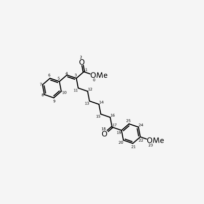 COC(=O)/C(=C/c1ccccc1)CCCCCCC(=O)c1ccc(OC)cc1